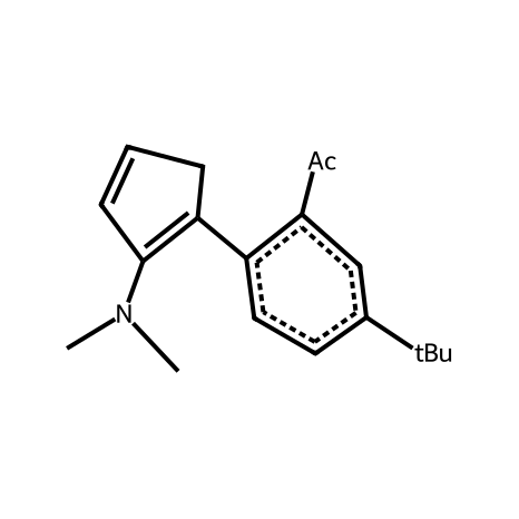 CC(=O)c1cc(C(C)(C)C)ccc1C1=C(N(C)C)C=CC1